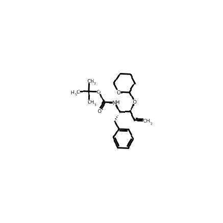 C=C[C@H](OC1CCCCO1)[C@H](Cc1ccccc1)NC(=O)OC(C)(C)C